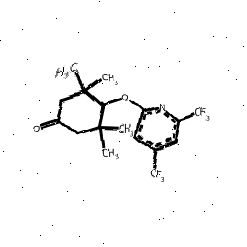 CC1(C)CC(=O)CC(C)(C)C1Oc1cc(C(F)(F)F)cc(C(F)(F)F)n1